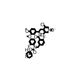 COc1ccc(C(Cc2c(Cl)c[n+]([O-])cc2Cl)OC(=O)c2cc(CN(C(=O)O[C@H]3CN4CCC3CC4)c3ccccc3F)ccc2F)cc1OC